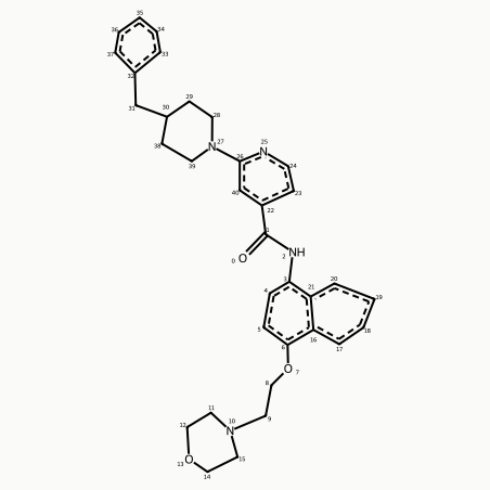 O=C(Nc1ccc(OCCN2CCOCC2)c2ccccc12)c1ccnc(N2CCC(Cc3ccccc3)CC2)c1